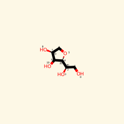 OC[C@@H](O)[C@H]1OC[C@H](O)C1O